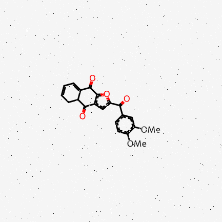 COc1ccc(C(=O)c2cc3c(o2)C(=O)C2=CC=CCC2C3=O)cc1OC